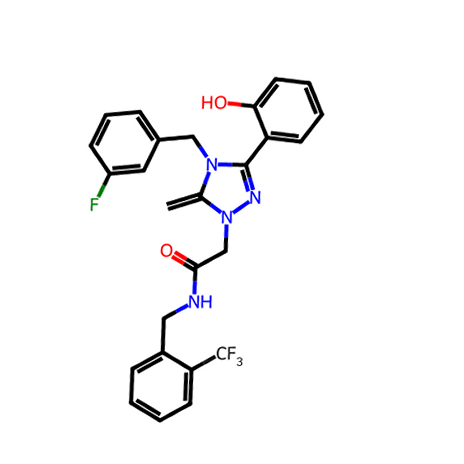 C=C1N(CC(=O)NCc2ccccc2C(F)(F)F)N=C(c2ccccc2O)N1Cc1cccc(F)c1